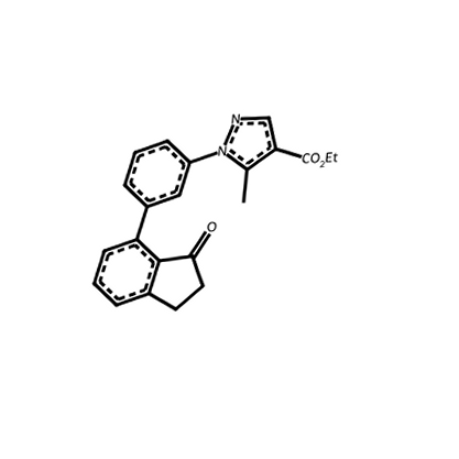 CCOC(=O)c1cnn(-c2cccc(-c3cccc4c3C(=O)CC4)c2)c1C